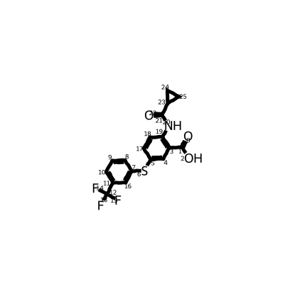 O=C(O)c1cc(Sc2cccc(C(F)(F)F)c2)ccc1NC(=O)C1CC1